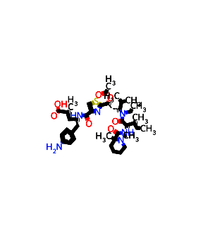 CC[C@H](C)[C@H](NC(=O)C1(C)CCCCN1C)C(=O)N(CC)[C@H](C[C@@H](OC(C)=O)c1nc(C(=O)N[C@@H](Cc2ccc(N)cc2)C[C@H](C)C(=O)O)cs1)C(C)C